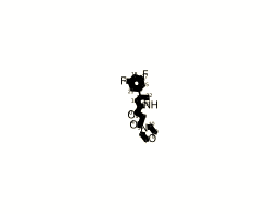 O=C(CC(=O)N1CCOCC1)C1C[C@@H](c2cc(F)cc(F)c2)CN1